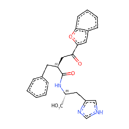 O=C(C[C@H](Cc1ccccc1)C(=O)N[C@H](Cc1c[nH]cn1)C(=O)O)c1cc2ccccc2o1